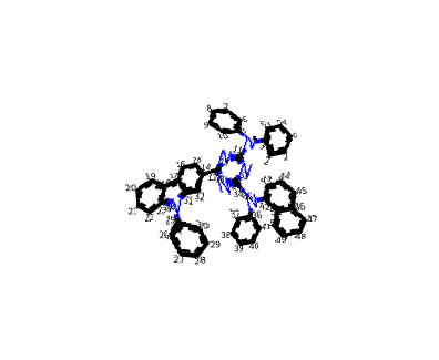 c1ccc(N(c2ccccc2)c2nc(-c3ccc4c5ccccc5n(-c5ccccc5)c4c3)nc(N(c3ccccc3)c3cccc4ccccc34)n2)cc1